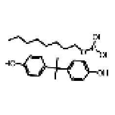 CC(C)(c1ccc(O)cc1)c1ccc(O)cc1.CCCCCCCCOP(O)O